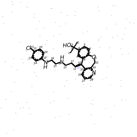 CC(C)(O)c1ccc2c(c1)/C(=C\CCNCCNc1ccc(Cl)cc1)c1cccnc1CO2